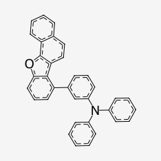 c1ccc(N(c2ccccc2)c2cccc(-c3cccc4oc5c6ccccc6ccc5c34)c2)cc1